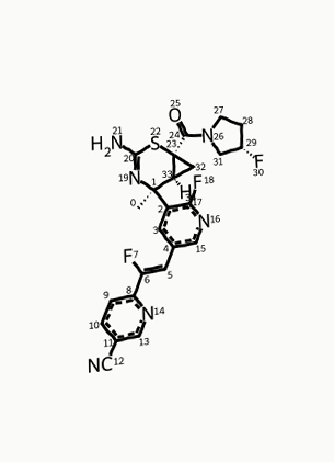 C[C@]1(c2cc(C=C(F)c3ccc(C#N)cn3)cnc2F)N=C(N)S[C@@]2(C(=O)N3CC[C@H](F)C3)C[C@H]21